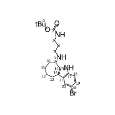 CC(C)(C)OC(=O)NCCCNC1CCCCc2c1[nH]c1ccc(Br)cc21